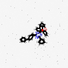 c1ccc(-c2ccc(-c3nc(-c4ccccc4)nc(-c4cccc5c4-c4cccc6c4-c4ccccc4Oc4cccc-6c4-5)n3)cc2)cc1